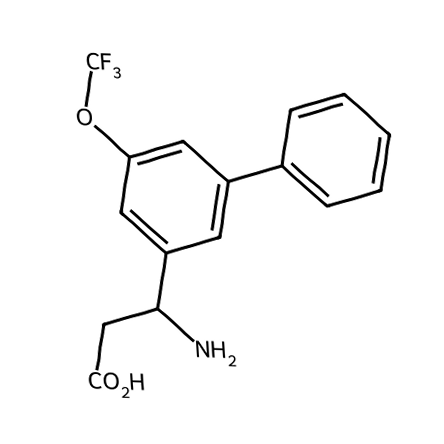 NC(CC(=O)O)c1cc(OC(F)(F)F)cc(-c2ccccc2)c1